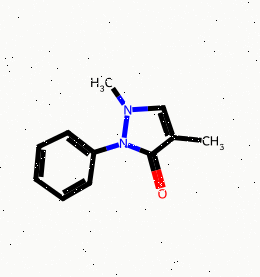 Cc1cn(C)n(-c2ccccc2)c1=O